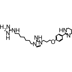 N=C(N)NCCCCCCCn1ccn(CCCOc2ccc(C3=NCCCN3)cc2)c1=N